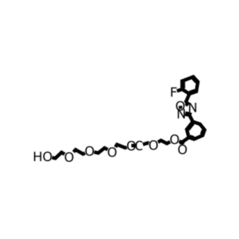 O=C(OCCOCCOCCOCCOCCOCCO)C1=CC=CCC(c2noc(-c3ccccc3F)n2)=C1